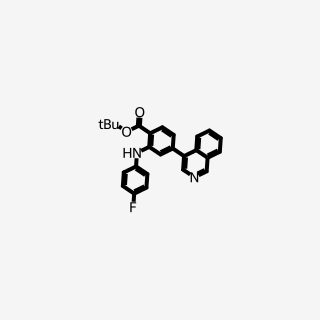 CC(C)(C)OC(=O)c1ccc(-c2cncc3ccccc23)cc1Nc1ccc(F)cc1